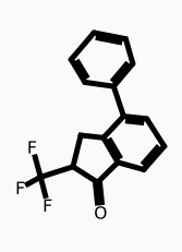 O=C1c2cccc(-c3ccccc3)c2CC1C(F)(F)F